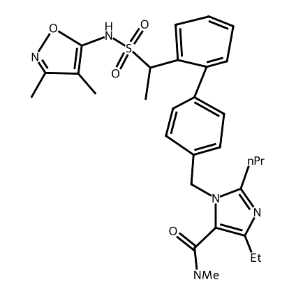 CCCc1nc(CC)c(C(=O)NC)n1Cc1ccc(-c2ccccc2C(C)S(=O)(=O)Nc2onc(C)c2C)cc1